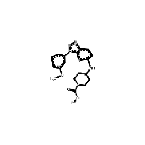 CC(C)OC(=O)N1CCC(Nc2ccc3nnn(-c4cccc(OC(F)(F)F)c4)c3n2)CC1